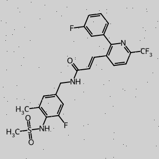 Cc1cc(CNC(=O)C=Cc2ccc(C(F)(F)F)nc2-c2cccc(F)c2)cc(F)c1NS(C)(=O)=O